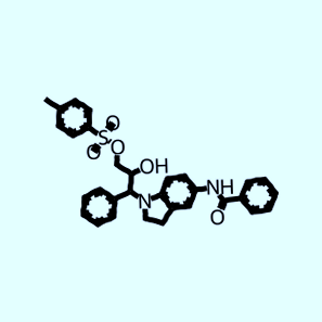 Cc1ccc(S(=O)(=O)OCC(O)C(c2ccccc2)N2CCc3cc(NC(=O)c4ccccc4)ccc32)cc1